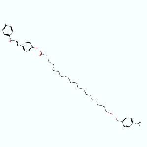 C=C(C)c1ccc(COCCCCCCCCCCCCCCCCCCC(=O)Oc2ccc(C=CC(=O)c3ccc(F)cc3)cc2)cc1